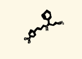 NCCC(NCCCc1ccc([N+](=O)[O-])cc1)c1ccccc1